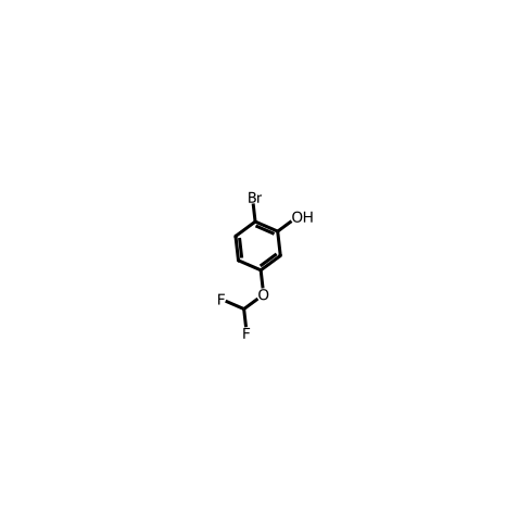 Oc1cc(OC(F)F)ccc1Br